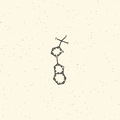 FC(F)(F)c1ccn(-c2cc3ccccc3s2)n1